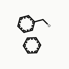 [O]Cc1ccccc1.c1ccccc1